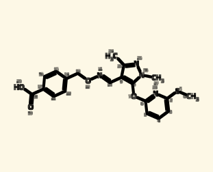 CSc1cccc(Oc2c(/C=N/OCc3ccc(C(=O)O)cc3)c(C)nn2C)n1